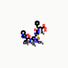 CC[C@H](C)[C@H](NC(=O)[C@H]1CCCCN1C)C(=O)N[C@@H]1C[C@H](c2nc(C(=O)N[C@@H](Cc3ccccc3)C[C@H](C)C(=O)O)cs2)N(C(=O)NC)C1C